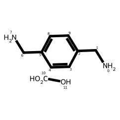 NCc1ccc(CN)cc1.O=C(O)O